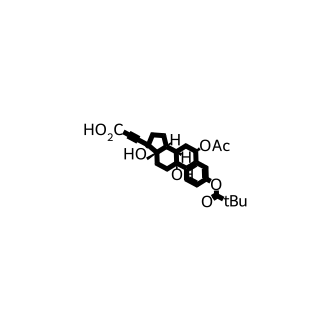 CC(=O)O[C@@H]1C[C@H]2[C@@H]3CC[C@@](O)(C#CC(=O)O)[C@@]3(C)CC[C@]2(O)c2ccc(OC(=O)C(C)(C)C)cc21